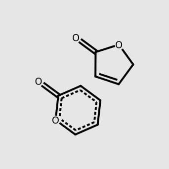 O=C1C=CCO1.O=c1cccco1